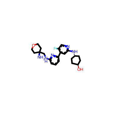 NC1(CNc2cccc(-c3cc(N[C@H]4CC[C@H](O)CC4)ncc3F)n2)CCOCC1